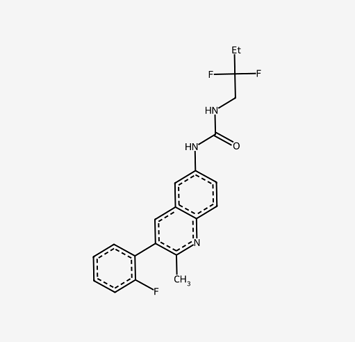 CCC(F)(F)CNC(=O)Nc1ccc2nc(C)c(-c3ccccc3F)cc2c1